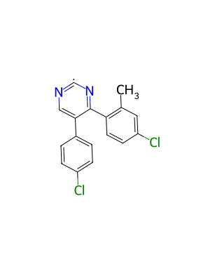 Cc1cc(Cl)ccc1-c1n[c]ncc1-c1ccc(Cl)cc1